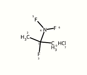 CC(C)(F)N(F)F.Cl